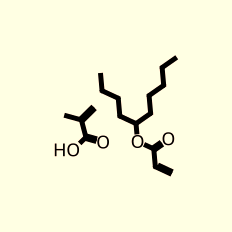 C=C(C)C(=O)O.C=CC(=O)OC(CCCC)CCCCC